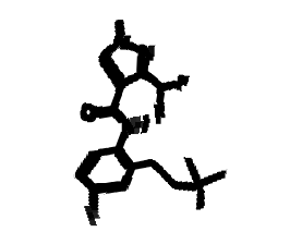 Cn1cc(C(=O)Nc2ccc(F)cc2CCC(C)(C)C)c(C(F)F)n1